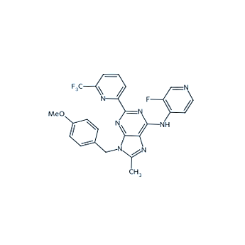 COc1ccc(Cn2c(C)nc3c(Nc4ccncc4F)nc(-c4cccc(C(F)(F)F)n4)nc32)cc1